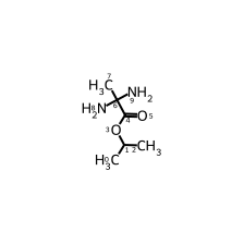 CC(C)OC(=O)C(C)(N)N